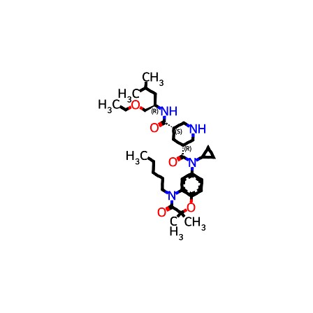 CCCCCN1C(=O)C(C)(C)Oc2ccc(N(C(=O)[C@H]3CNC[C@@H](C(=O)N[C@@H](COCC)CC(C)C)C3)C3CC3)cc21